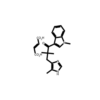 Cc1[nH]cnc1CC(C)(C)C(=O)c1cn(C)c2ccccc12.O=C(O)C=CC(=O)O